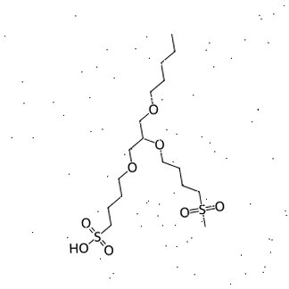 CCCCCOCC(COCCCCS(=O)(=O)O)OCCCCS(C)(=O)=O